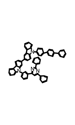 c1ccc(-c2ccc(-c3ccc(-n4c5ccccc5c5cc(-c6ccc7c8ccccc8n(-c8cccc(-c9cc(-c%10ccccc%10)nc(-c%10ccccc%10)n9)c8)c7c6)ccc54)cc3)cc2)cc1